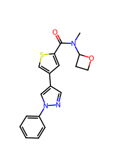 CN(C(=O)c1cc(-c2cnn(-c3ccccc3)c2)cs1)C1CCO1